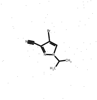 CC(C)n1cc(Br)c(C#N)n1